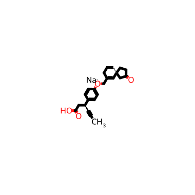 CC#C[C@@H](CC(=O)O)c1ccc(OCC2=C[C@@]3(CCC2)CCC(=O)C3)cc1.[Na]